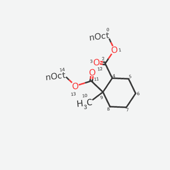 CCCCCCCCOC(=O)C1CCCCC1(C)C(=O)OCCCCCCCC